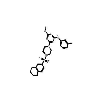 CCOc1nc(Nc2cccc(C)c2)nc(N2CCN(S(=O)(=O)c3ccc4c(c3)CCCC4)CC2)n1